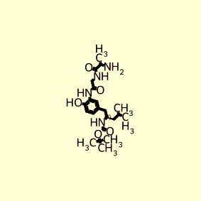 CC(C)C[C@H](Cc1ccc(O)c(NC(=O)CNC(=O)C(C)N)c1)NC(=O)OC(C)(C)C